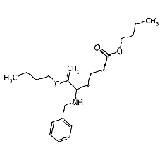 C=C(OCCCC)C(CCCC(=O)OCCCC)NCc1ccccc1